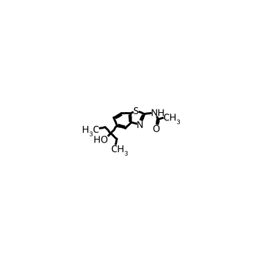 CCC(O)(CC)c1ccc2sc(NC(C)=O)nc2c1